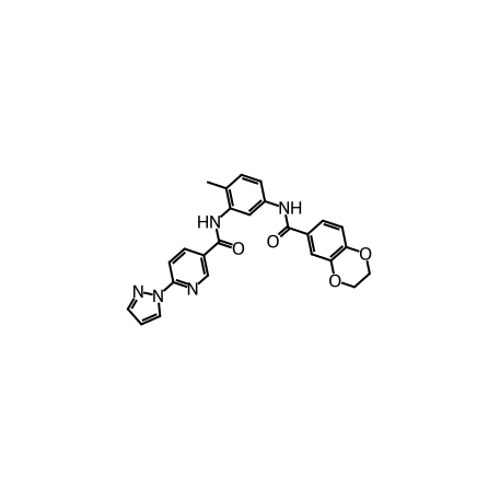 Cc1ccc(NC(=O)c2ccc3c(c2)OCCO3)cc1NC(=O)c1ccc(-n2cccn2)nc1